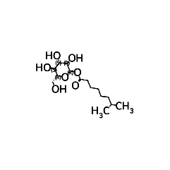 CC(C)CCCCCC(=O)O[C@H]1O[C@H](CO)[C@@H](O)[C@H](O)[C@H]1O